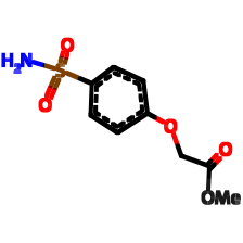 COC(=O)COc1ccc(S(N)(=O)=O)cc1